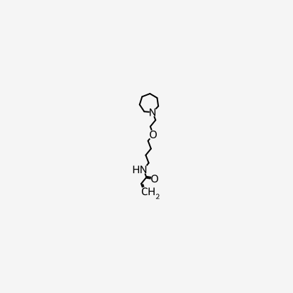 C=CC(=O)NCCCCOCCN1CCCCCC1